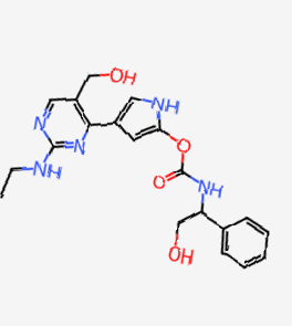 CCNc1ncc(CO)c(-c2c[nH]c(OC(=O)NC(CO)c3ccccc3)c2)n1